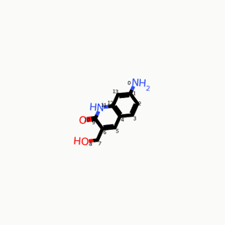 Nc1ccc2cc(CO)c(=O)[nH]c2c1